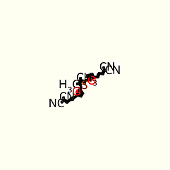 Cc1c(-c2ccc(C#CC=C(C#N)C#N)o2)sc(-c2ccc(/C=C/C=C(C#N)C#N)o2)c1C